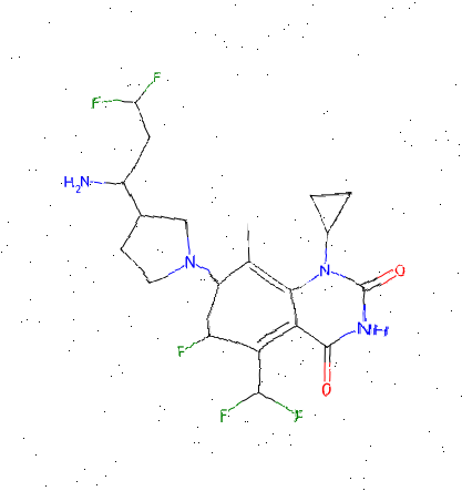 CC1=c2c(c(=O)[nH]c(=O)n2C2CC2)=C(C(F)F)C(F)C1N1CCC(C(N)CC(F)F)C1